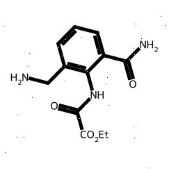 CCOC(=O)C(=O)Nc1c(CN)cccc1C(N)=O